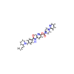 CCC1CCCCN1Cc1ccc(C(=O)Nc2ccc(OC(=O)N3CCN(c4ccccn4)CC3)nc2)cc1